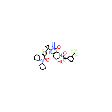 O=C([C@H](O)c1cccc(C(F)(F)F)c1)N1CCCc2nc(C3(c4cc(C(=O)N(C5CCCCC5)C5CCCCC5)cs4)CC3)[nH]c(=O)c2C1